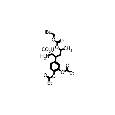 CCC(=O)Oc1ccc(C(CC(C)OC(=O)OCC(C)CC)[C@H](N)C(=O)O)cc1OC(=O)CC